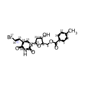 Cc1ccc(C(=O)OC[C@H]2O[C@@H](n3cc(/C=C/Br)c(=O)[nH]c3=O)C[C@@H]2O)cc1